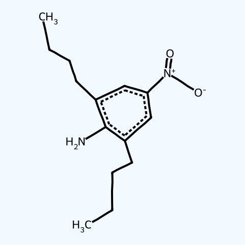 CCCCc1cc([N+](=O)[O-])cc(CCCC)c1N